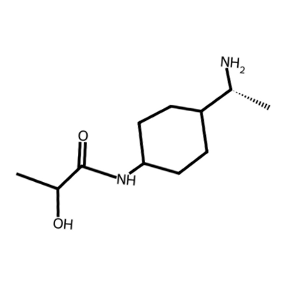 CC(O)C(=O)NC1CCC([C@@H](C)N)CC1